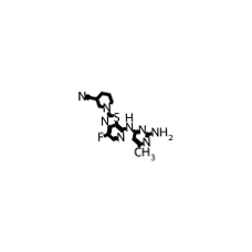 Cc1cc(Nc2ncc(F)c3nc(N4CCCC(C#N)C4)sc23)nc(N)n1